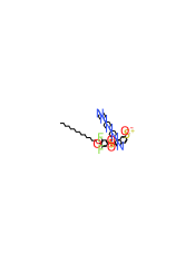 CCCCCCCCCCCCCCOc1c(F)cc(S(=O)(=O)c2cnc3ccc([S+](C)[O-])cc3c2N2CCC(N3CCC(N4CCN(C)CC4)CC3)CC2)cc1F